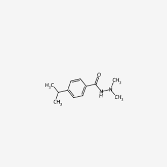 CC(C)c1ccc(C(=O)NN(C)C)cc1